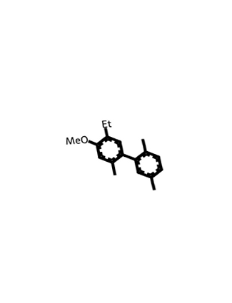 CCc1cc(-c2cc(C)ccc2C)c(C)cc1OC